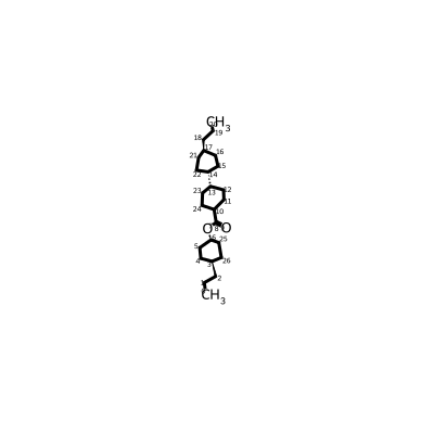 CCC[C@H]1CC[C@H](OC(=O)C2CCC([C@H]3CC[C@H](CCC)CC3)CC2)CC1